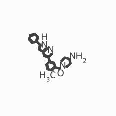 Cc1ccc(-c2cnc3[nH]c(-c4ccccc4)cc3c2)cc1C(=O)N1CCC(N)CC1